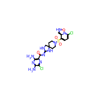 Nc1nc(N)c(C(=O)/N=C2\NCC3(CCN(S(=O)(=O)C4=CC=C(Cl)N5ONC=C45)CC3)N2)nc1Cl